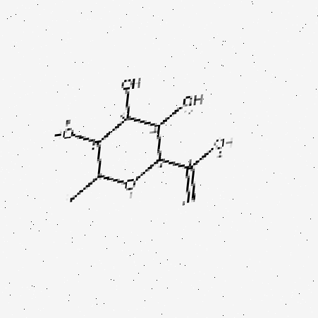 C=C(O)C1OC(C)C(O)C(O)C1O